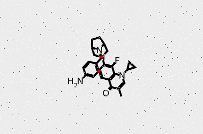 Cc1cn(C2CC2)c2c(F)c(N3CC4CCC(C3)N4Cc3ccc(N)cc3)ccc2c1=O